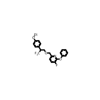 CCOc1ccc(C(COCc2ccc(F)c(Oc3ccccc3)n2)C(F)(F)F)cc1